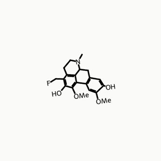 COc1cc2c(cc1O)CC1c3c(c(CF)c(O)c(OC)c3-2)CCN1C